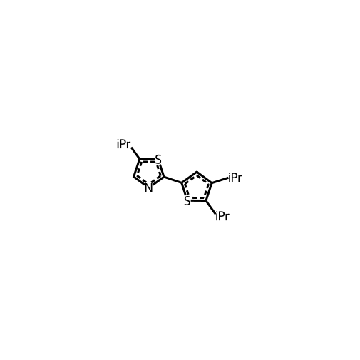 CC(C)c1cnc(-c2cc(C(C)C)c(C(C)C)s2)s1